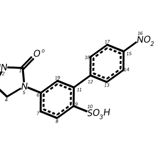 O=C1NCCN1c1ccc(S(=O)(=O)O)c(-c2ccc([N+](=O)[O-])cc2)c1